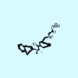 C[C@@H](C(=O)c1cccc(CNCC(=O)OC(C)(C)C)c1)N(C)c1ccc2ccccc2c1